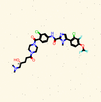 CN(C)C[C@H](O)CCC(=O)N1CCN(C(=O)c2ccc(NC(=O)c3ncc(-c4ccc(OC(F)F)c(F)c4Cl)n3C)cc2Cl)CC1